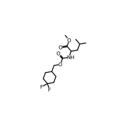 COC(=O)C(CC(C)C)NC(=O)OCC1CCC(F)(F)CC1